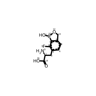 N[C@@H](Cc1ccc2c(c1F)B(O)OC2)C(=O)O